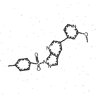 COc1cc(-c2cnc3c(cnn3S(=O)(=O)c3ccc(C)cc3)c2)ccn1